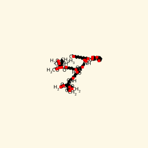 C=CC(=O)OCC(COC(=O)C=C)(COC(=O)C=C)COC(=O)NCCCCCCNC(=O)N(CCCCCCNC(=O)OC(CCCCCCCCCCCC)COc1ccc([I+]c2ccccc2)cc1)C(=O)NCCCCCCNC(=O)OCC(COC(=O)C=C)(COC(=O)C=C)COC(=O)C=C